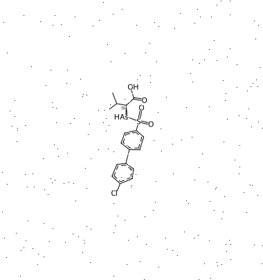 CC(C)[C@H]([AsH]S(=O)(=O)c1ccc(-c2ccc(Cl)cc2)cc1)C(=O)O